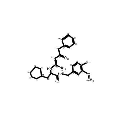 COc1cc(CNC(=O)C(CC2CCCCC2)NC(N)=NC(=O)Cc2ccccn2)ccc1F